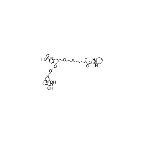 O=C(NCCCCCSCCCOCCN(CCOCCOCCN(CCO)Cc1cccc(C(=O)O)n1)Cc1cccc(C(=O)O)n1)OC[C@H]1[C@@H]2CCC#CCC[C@@H]21